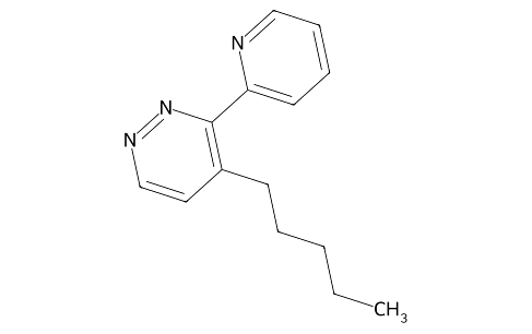 CCCCCc1ccnnc1-c1ccccn1